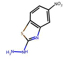 NNc1nc2cc([N+](=O)[O-])ccc2s1